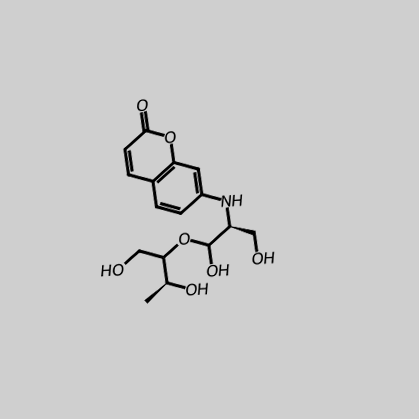 C[C@H](O)C(CO)OC(O)[C@H](CO)Nc1ccc2ccc(=O)oc2c1